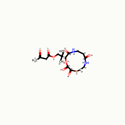 CC(=O)CC(=O)OCC(C)(C)[C@H]1OC(=O)C(=O)SCCNC(=O)CCNC1=O